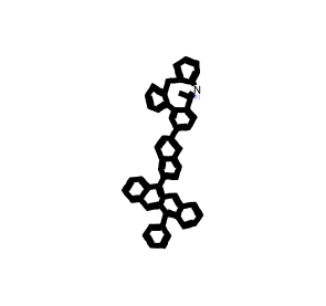 C/C1=N\c2ccccc2Cc2ccccc2-c2cc(-c3ccc4cc(-c5c6ccccc6cc6c(-c7ccccc7)c7ccccc7cc56)ccc4c3)ccc21